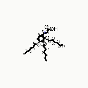 CCCCCCOc1ccc(/C=C/C(=O)O)c(OCCCCCC)c1OCCCCCC